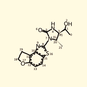 CC(O)[C@@H]1NC(=O)N(c2nc3c4c(ccc3s2)OCC4)[C@H]1C